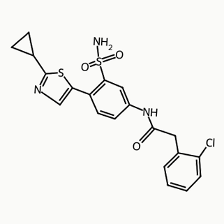 NS(=O)(=O)c1cc(NC(=O)Cc2ccccc2Cl)ccc1-c1cnc(C2CC2)s1